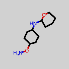 NOC1CCC(NC2CCCCO2)CC1